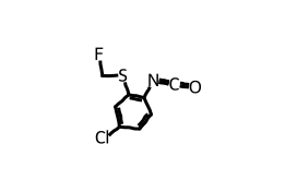 O=C=Nc1ccc(Cl)cc1SCF